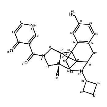 O=C(c1c[nH]ccc1=O)N1C[C@H]2CC34CCC1C2C31CCN(C2CCC2)C4Cc2ccc(O)cc21